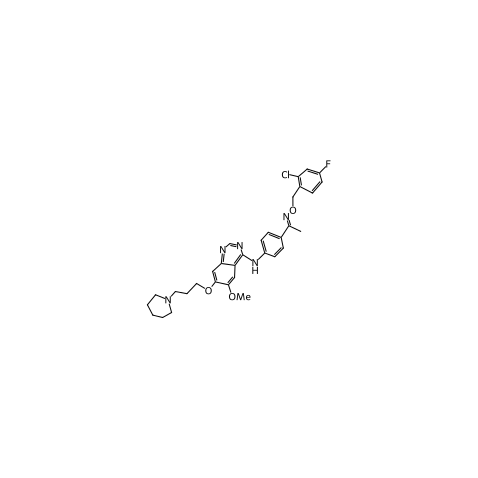 COc1cc2c(Nc3ccc(C(C)=NOCc4ccc(F)cc4Cl)cc3)ncnc2cc1OCCCN1CCCCC1